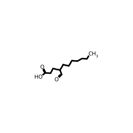 CCCCCCCC(C=O)CCC(=O)O